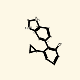 Clc1cccc(C2CC2)c1-c1ccc2c(c1)NCN2